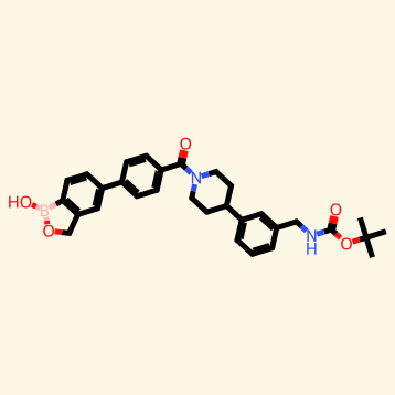 CC(C)(C)OC(=O)NCc1cccc(C2CCN(C(=O)c3ccc(-c4ccc5c(c4)COB5O)cc3)CC2)c1